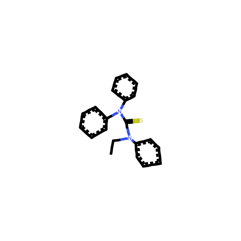 CCN(C(=S)N(c1ccccc1)c1ccccc1)c1ccccc1